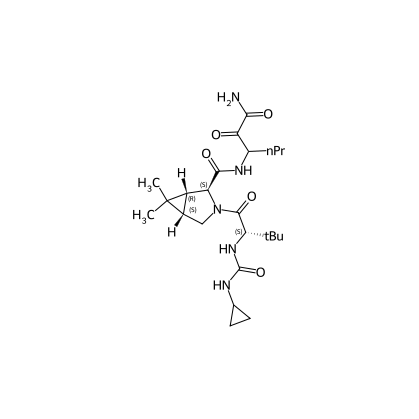 CCCC(NC(=O)[C@@H]1[C@@H]2[C@H](CN1C(=O)[C@@H](NC(=O)NC1CC1)C(C)(C)C)C2(C)C)C(=O)C(N)=O